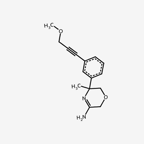 COCC#Cc1cccc(C2(C)COCC(N)=N2)c1